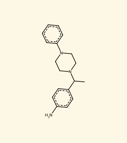 CC(c1ccc(N)cc1)N1CCN(c2ccccc2)CC1